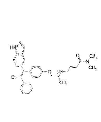 CC/C(=C(/c1ccc(OCC(C)NC/C=C/C(=O)N(C)C)cc1)c1ccc2[nH]ncc2c1)c1ccccc1